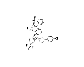 CCC1N(C(=O)c2cnccc2C(F)(F)F)CCC[C@@]1(Oc1ccc(C(F)(F)F)cc1)C(=O)N1CCC(c2ccc(Cl)cc2)C1